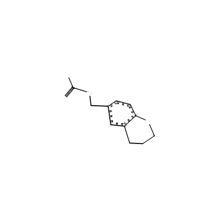 O=C(O)NCc1ccc2c(c1)CCCN2